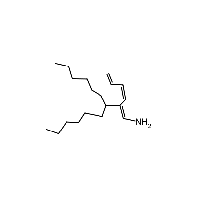 C=C/C=C\C(=C/N)C(CCCCCC)CCCCCC